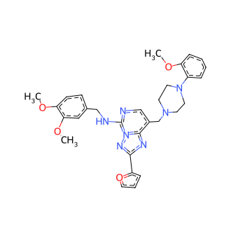 COc1ccc(CNc2ncc(CN3CCN(c4ccccc4OC)CC3)c3nc(-c4ccco4)nn23)cc1OC